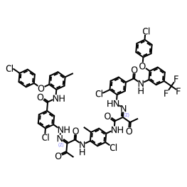 CC(=O)/C(=N/Nc1cc(C(=O)Nc2cc(C)ccc2Oc2ccc(Cl)cc2)ccc1Cl)C(=O)Nc1cc(Cl)c(NC(=O)/C(=N\Nc2cc(C(=O)Nc3cc(C(F)(F)F)ccc3Oc3ccc(Cl)cc3)ccc2Cl)C(C)=O)cc1C